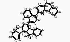 CC1(C)c2ccccc2-c2c(-c3ccc(-c4ccc5ccc6cccnc6c5n4)c4ccccc34)cc3oc4ccccc4c3c21